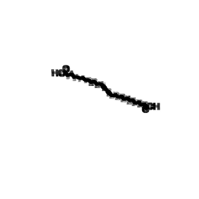 O=C(O)CCCCCCCCCCCCC#CC#CCCCCCCCCCCCCC(=O)O